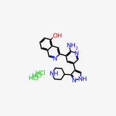 Cl.Cl.Cl.Nc1ncc(-c2c[nH]nc2C2CCNCC2)cc1-c1cc2c(O)cccc2cn1